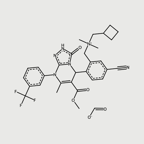 COC(=O)C1=C(C)N(c2cccc(C(F)(F)F)c2)c2n[nH]c(=O)n2C1c1ccc(C#N)cc1C[N+](C)(C)CC1CCC1.O=C[O-]